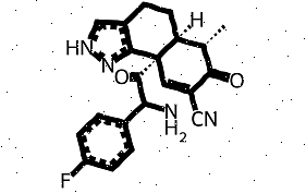 C[C@@H]1C(=O)C(C#N)=C[C@@]2(C(=O)C(N)c3ccc(F)cc3)c3n[nH]cc3CC[C@@H]12